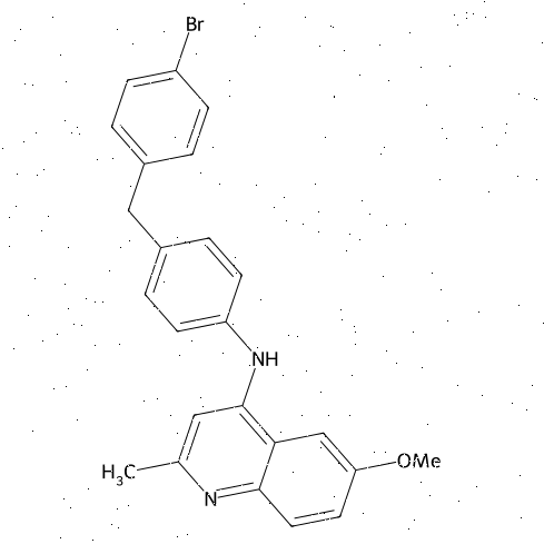 COc1ccc2nc(C)cc(Nc3ccc(Cc4ccc(Br)cc4)cc3)c2c1